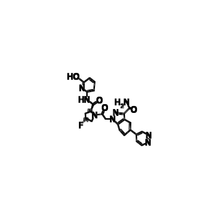 NC(=O)c1nn(CC(=O)N2C[C@H](F)C[C@H]2C(=O)Nc2cccc(O)n2)c2ccc(-c3ccnnc3)cc12